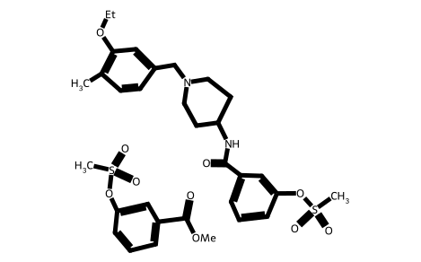 CCOc1cc(CN2CCC(NC(=O)c3cccc(OS(C)(=O)=O)c3)CC2)ccc1C.COC(=O)c1cccc(OS(C)(=O)=O)c1